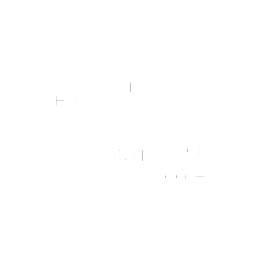 CC=C(C)c1ccc(C(C)C(=O)O)cc1.[CaH2]